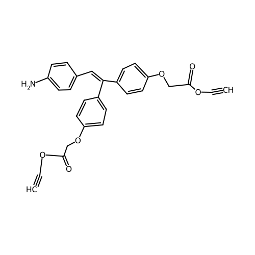 C#COC(=O)COc1ccc(C(=Cc2ccc(N)cc2)c2ccc(OCC(=O)OC#C)cc2)cc1